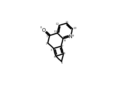 O=C1CC2=C3CC3=C2c2ncccc21